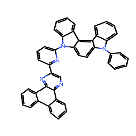 c1ccc(-n2c3ccccc3c3c4c5ccccc5n(-c5cccc(-c6cnc7c8ccccc8c8ccccc8c7n6)n5)c4ccc32)cc1